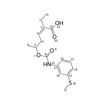 CCC(=CCC(C)OC(=O)Nc1cccc(SC)c1)C(=O)O